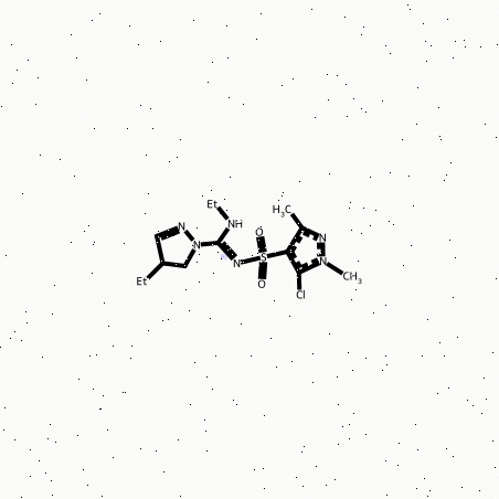 CCN/C(=N\S(=O)(=O)c1c(C)nn(C)c1Cl)N1CC(CC)C=N1